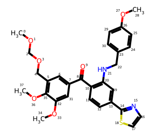 COCOCc1cc(C(=O)c2ccc(-c3nccs3)cc2NCc2ccc(OC)cc2)cc(OC)c1OC